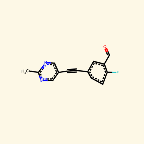 Cc1ncc(C#Cc2ccc(F)c(C=O)c2)cn1